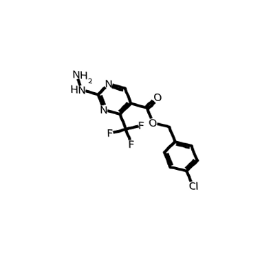 NNc1ncc(C(=O)OCc2ccc(Cl)cc2)c(C(F)(F)F)n1